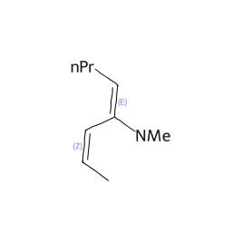 C/C=C\C(=C/CCC)NC